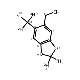 [2H]C1([2H])Oc2cc(CCl)c(C([2H])([2H])[2H])cc2O1